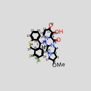 COC1CC2CN3C(=O)c4c(O)c(=O)ccn4N([C@@H]4c5ccccc5SCc5c4ccc(F)c5F)[C@@H]3CN2C1